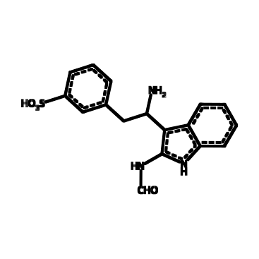 NC(Cc1cccc(S(=O)(=O)O)c1)c1c(NC=O)[nH]c2ccccc12